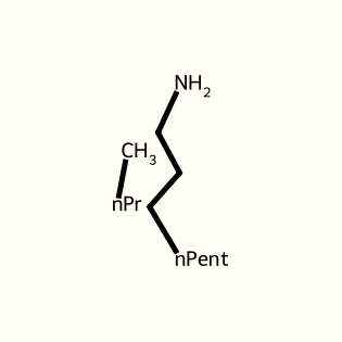 CCCC.CCCCCCCCN